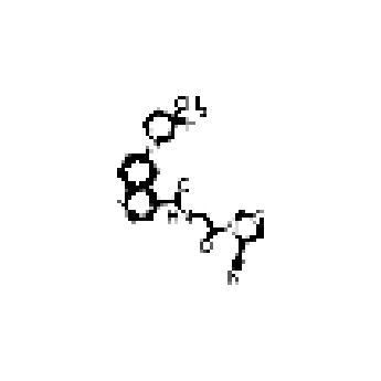 CC1(F)CCN(c2ccc3nccc(C(=O)NCC(=O)N4CSCC4C#N)c3c2)C1